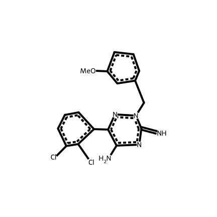 COc1cccc(Cn2nc(-c3cccc(Cl)c3Cl)c(N)nc2=N)c1